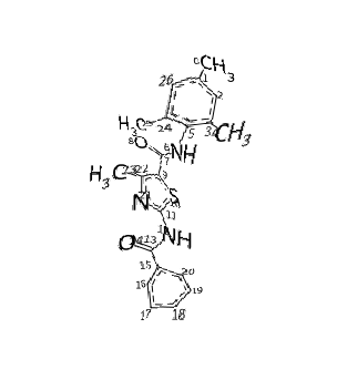 Cc1cc(C)c(NC(=O)c2sc(NC(=O)c3ccccc3)nc2C)c(C)c1